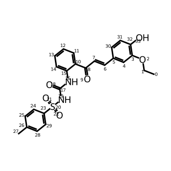 CCOc1cc(/C=C/C(=O)c2ccccc2NC(=O)NS(=O)(=O)c2ccc(C)cc2)ccc1O